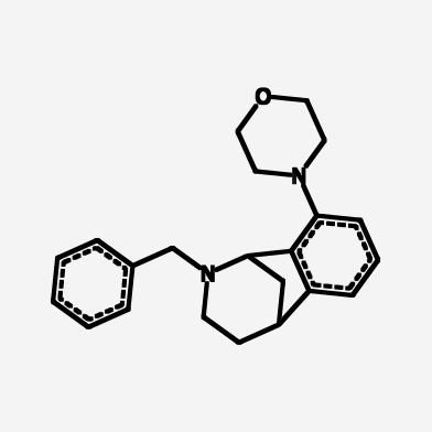 c1ccc(CN2CCC3CC2c2c3cccc2N2CCOCC2)cc1